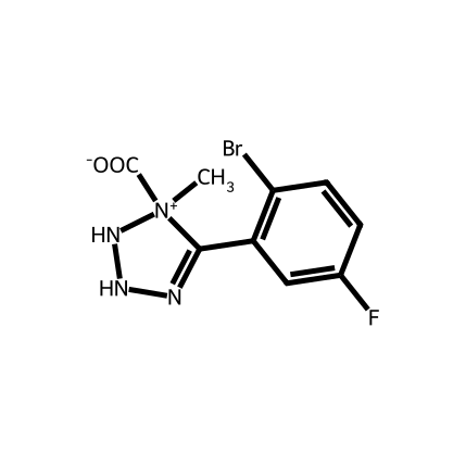 C[N+]1(C(=O)[O-])NNN=C1c1cc(F)ccc1Br